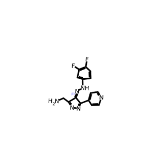 NCC1=NN=C(c2ccncc2)/C1=N\Nc1ccc(F)c(F)c1